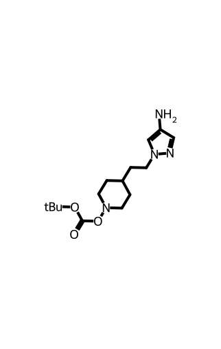 CC(C)(C)OC(=O)ON1CCC(CCn2cc(N)cn2)CC1